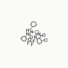 CC(c1ccccc1)N(C(=O)Nc1ccccc1OC(F)(F)F)C1CCn2c1nc1cccc(Cl)c1c2=O